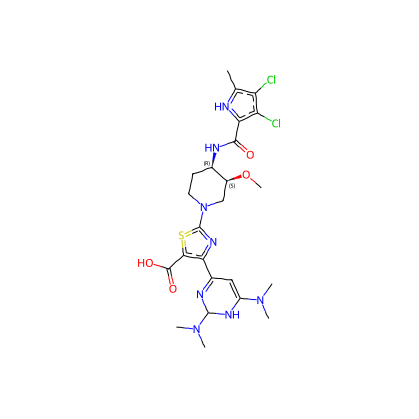 CO[C@H]1CN(c2nc(C3=NC(N(C)C)NC(N(C)C)=C3)c(C(=O)O)s2)CC[C@H]1NC(=O)c1[nH]c(C)c(Cl)c1Cl